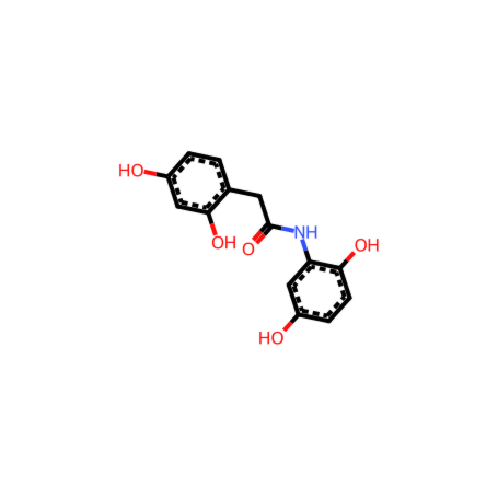 O=C(Cc1ccc(O)cc1O)Nc1cc(O)ccc1O